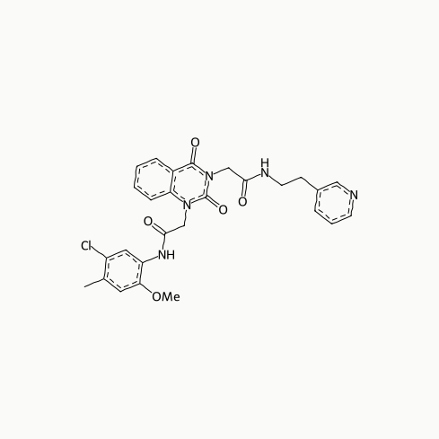 COc1cc(C)c(Cl)cc1NC(=O)Cn1c(=O)n(CC(=O)NCCc2cccnc2)c(=O)c2ccccc21